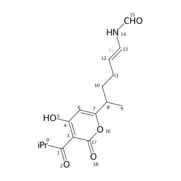 CC(C)C(=O)c1c(O)cc(C(C)CC/C=C/NC=O)oc1=O